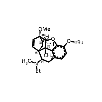 CCCCOc1ccc2c3c1O[C@H]1[C@@]4(OC)C=C[C@@](C[C@@H]4C(C)=O)([C@H](N(C)CC)C2)[C@@]31C